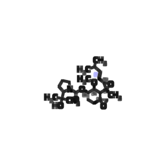 CO[C@H]1C([C@@]2(C)O[C@@H]2/C=C/C(C)C)[C@]2(CC[C@H]1OC(=O)N1CCCC1C(C)(C)O)CO2